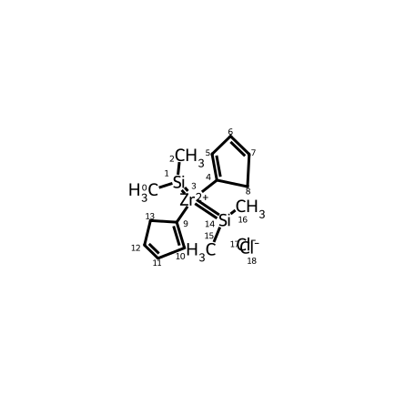 C[Si](C)=[Zr+2]([C]1=CC=CC1)([C]1=CC=CC1)=[Si](C)C.[Cl-].[Cl-]